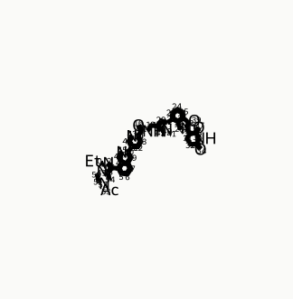 CCc1nc(-c2cccc3cc(-c4ccc(C(=O)NCc5cc(-c6cccc7c6CN(C6CCC(=O)NC6=O)C7=O)n(C)n5)nc4)ncc23)c2n1CCN(C(C)=O)C2